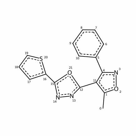 Cc1onc(-c2ccccc2)c1-c1nnc(-c2cccs2)o1